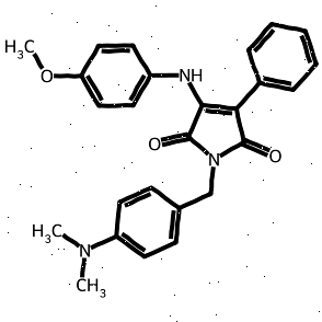 COc1ccc(NC2=C(c3ccccc3)C(=O)N(Cc3ccc(N(C)C)cc3)C2=O)cc1